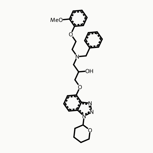 COc1ccccc1OCCN(Cc1ccccc1)CC(O)COc1cccc2c1nnn2C1CCCCO1